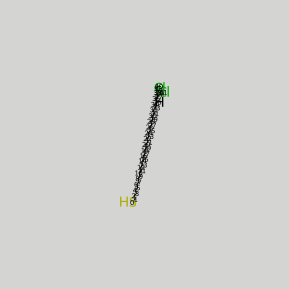 SCCCCCCCCCCCCCCCCCCCCCCCCCCCCCCCCCCCCCC[SiH](Cl)Cl